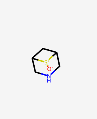 [O-][S+]1C2CNCC1C2